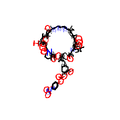 CO[C@H]1C[C@@H]2CC[C@@H](C)[C@@](O)(O2)C(=O)C(=O)N2CCCC[C@H]2C(=O)O[C@H]([C@H](C)C[C@@H]2CC[C@@H](OC(=O)Oc3ccc([N+](=O)[O-])cc3)[C@H](OC)C2)CC(=O)[C@H](C)/C=C(\C)[C@@H](O[Si](C)(C)C)[C@@H](OC)C(=O)[C@H](C)C[C@H](C)/C=C/C=C/C=C/1C